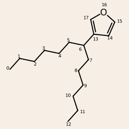 CCCCCCC(CCCCCC)c1ccoc1